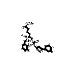 COC(=O)CCC[C@@H](COC(=O)Nc1cc(-c2ccccc2)on1)N(NCc1cccc(F)c1F)C(C)=O